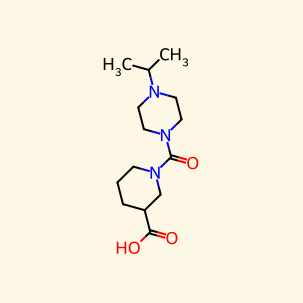 CC(C)N1CCN(C(=O)N2CCCC(C(=O)O)C2)CC1